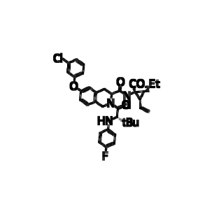 C=C[C@@H]1C[C@]1(NC(=O)C1Cc2cc(Oc3cccc(Cl)c3)ccc2CN1C(=O)[C@@H](Nc1ccc(F)cc1)C(C)(C)C)C(=O)OCC